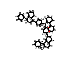 C1=C(c2ccccc2)C(N(c2ccc(-c3ccc4ccc5oc6ccccc6c5c4c3)cc2)c2ccc(-c3ccc(-c4ccccc4)c4ccccc34)cc2)=CCC1